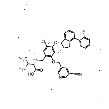 CC(C)[C@H](NCc1cc(Cl)c(O[C@H]2CCc3c(-c4ccccc4F)cccc32)cc1OCc1cncc(C#N)c1)C(=O)O